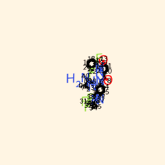 C[C@@H]1CN(c2c(NC(=O)c3ccc(=O)n(-c4c(F)cccc4F)n3)ccc3nn(C4(C(F)(F)F)CC4)cc23)C[C@@H]1N